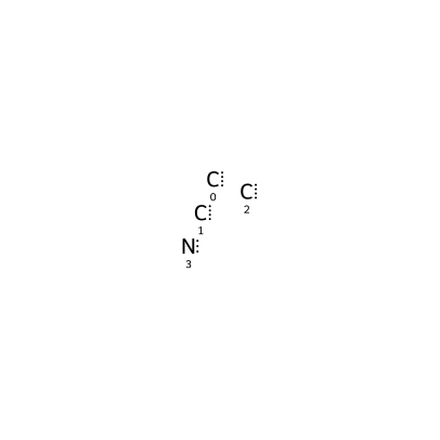 [C].[C].[C].[N]